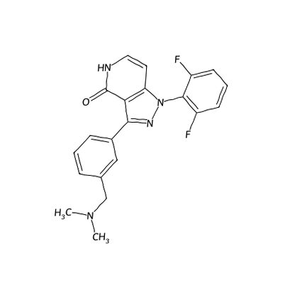 CN(C)Cc1cccc(-c2nn(-c3c(F)cccc3F)c3cc[nH]c(=O)c23)c1